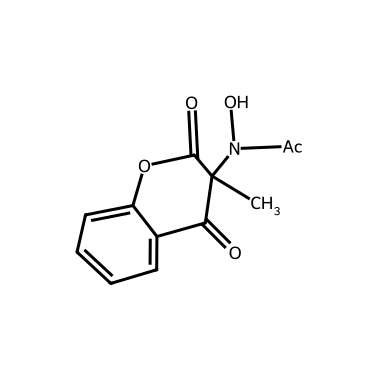 CC(=O)N(O)C1(C)C(=O)Oc2ccccc2C1=O